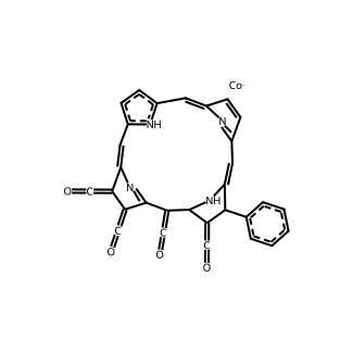 O=C=C1C(=C=O)C2=NC1=Cc1ccc([nH]1)C=C1C=CC(=N1)C=C1NC(C2=C=O)C(=C=O)C1c1ccccc1.[Co]